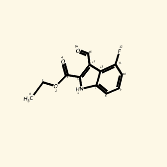 CCOC(=O)c1[nH]c2cccc(F)c2c1C=O